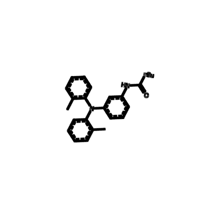 CCCCC(=O)Nc1cccc(N(c2ccccc2C)c2ccccc2C)c1